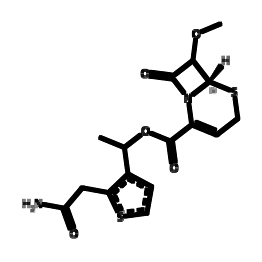 COC1C(=O)N2C(C(=O)OC(C)c3ccsc3CC(N)=O)=CCS[C@@H]12